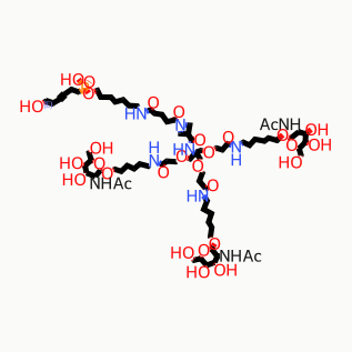 CC(=O)NC1C(OCCCCCCNC(=O)CCOCC(COCCC(=O)NCCCCCCOC2OC(CO)C(O)C(O)C2NC(C)=O)(COCCC(=O)NCCCCCCOC2OC(CO)C(O)C(O)C2NC(C)=O)NC(=O)C2CN(C(=O)CCCC(=O)NCCCCCCCOP(=O)(O)CCC#C/C=C/O)C2)OC(CO)C(O)C1O